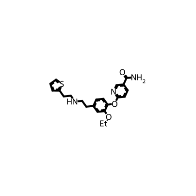 CCOc1cc(CCNCCc2cccs2)ccc1Oc1ccc(C(N)=O)cn1